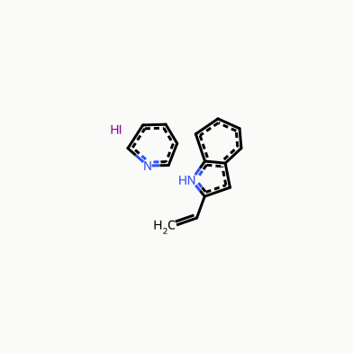 C=Cc1cc2ccccc2[nH]1.I.c1ccncc1